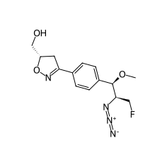 CO[C@H](c1ccc(C2=NO[C@H](CO)C2)cc1)[C@@H](CF)N=[N+]=[N-]